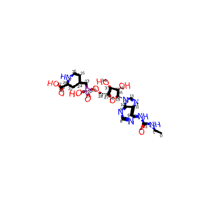 CCNC(=O)Nc1ncnc2c1ncn2[C@@H]1O[C@H](COP(=O)(O)CC2CCNC(C(=O)O)C2)C(O)[C@@H]1O